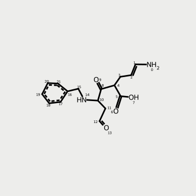 NC=CCC(C(=O)O)C(=O)C(CC=O)NCc1ccccc1